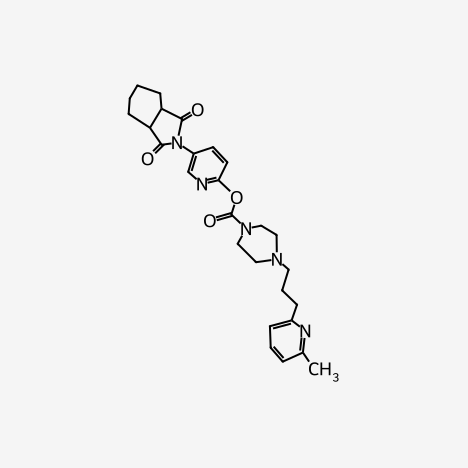 Cc1cccc(CCCN2CCN(C(=O)Oc3ccc(N4C(=O)C5CCCCC5C4=O)cn3)CC2)n1